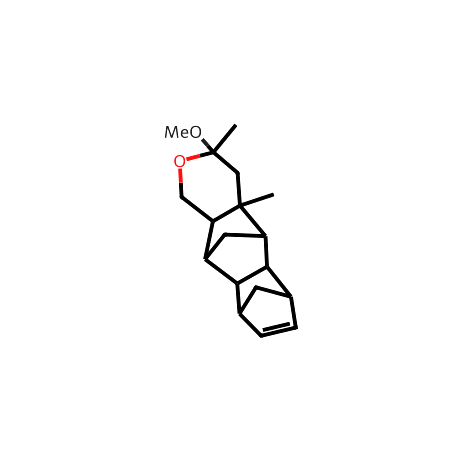 COC1(C)CC2(C)C(CO1)C1CC2C2C3C=CC(C3)C12